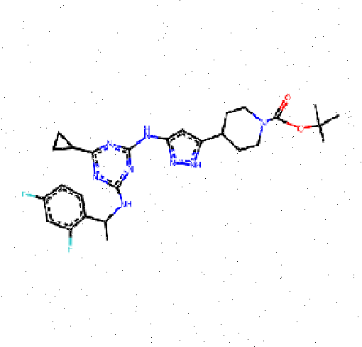 CC(Nc1nc(Nc2cc(C3CCN(C(=O)OC(C)(C)C)CC3)[nH]n2)nc(C2CC2)n1)c1ccc(F)cc1F